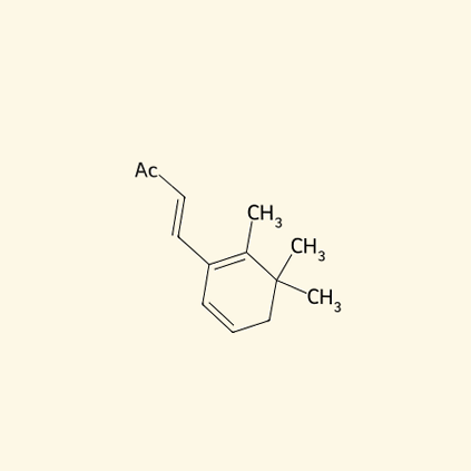 CC(=O)C=CC1=C(C)C(C)(C)CC=C1